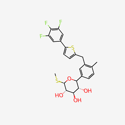 CS[C@H]1OC(c2ccc(C)c(Cc3ccc(-c4cc(F)c(F)c(F)c4)s3)c2)[C@H](O)[C@@H](O)[C@@H]1O